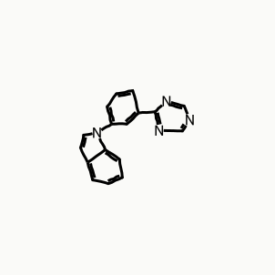 c1cc(-c2ncncn2)cc(-n2ccc3ccccc32)c1